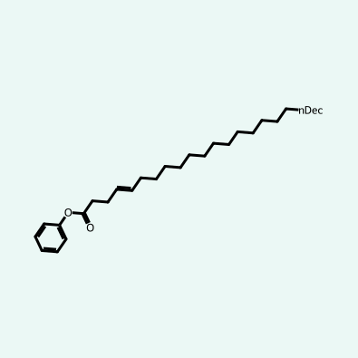 CCCCCCCCCCCCCCCCCCCCCCCC=CCCC(=O)Oc1ccccc1